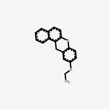 CCOc1ccc2c(c1)Cc1c(ccc3ccccc13)O2